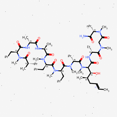 C/C=C/C[C@@H](C)[C@H](O)C(C(=O)N[C@H](CC)C(=O)N(C)CC(=O)N(C)[C@@H](CCC)C(N)=O)N(C)C(=O)[C@@H](C(C)C)N(C)C(=O)[C@@H](CC(C)C)N(C)C(=O)[C@@H](CC(C)C)N(C)C(=O)[C@H](C)NC(=O)[C@@H](C)NC(=O)[C@H](CC(C)C)N(C)C(=O)[C@@H](C)C(C)C